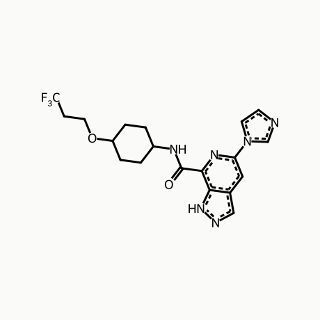 O=C(NC1CCC(OCCC(F)(F)F)CC1)c1nc(-n2ccnc2)cc2cn[nH]c12